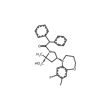 C[C@@]1(C(=O)O)C[C@H](N2CCCOc3cc(F)c(F)cc32)CN1C(=O)C(c1ccccc1)c1ccccc1